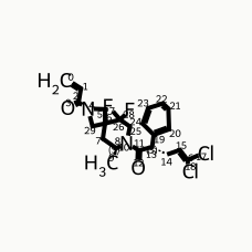 C=CC(=O)N1CC2(C[C@H](C)N(C(=O)[C@@H](CC=C(Cl)Cl)c3ccccc3)CC2(F)F)C1